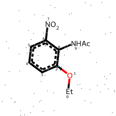 CCOc1cccc([N+](=O)[O-])c1NC(C)=O